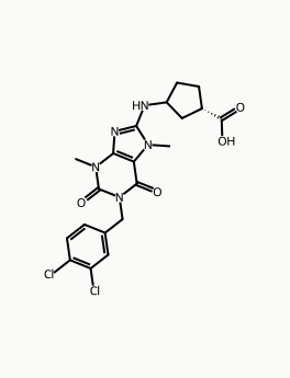 Cn1c(NC2CC[C@H](C(=O)O)C2)nc2c1c(=O)n(Cc1ccc(Cl)c(Cl)c1)c(=O)n2C